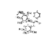 CC(C)=O.O=C(c1ccccc1)C(O)CC1=CCC(O)(O)C=C1O.Oc1ccc(O)c(O)c1O